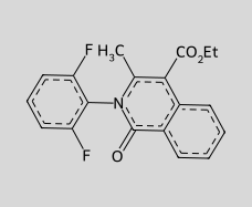 CCOC(=O)c1c(C)n(-c2c(F)cccc2F)c(=O)c2ccccc12